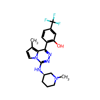 Cc1ccn2c(N[C@@H]3CCCN(C)C3)nnc(-c3ccc(C(F)(F)F)cc3O)c12